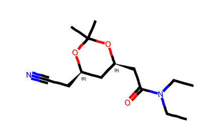 CCN(CC)C(=O)C[C@H]1C[C@@H](CC#N)OC(C)(C)O1